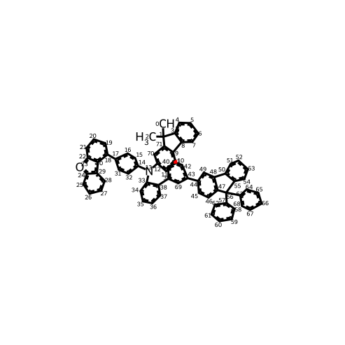 CC1(C)c2ccccc2-c2ccc(N(c3ccc(-c4cccc5oc6ccccc6c45)cc3)c3ccccc3-c3cccc(-c4ccc5c(c4)-c4ccccc4C5(c4ccccc4)c4ccccc4)c3)cc21